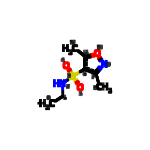 [CH2]CNS(=O)(=O)c1c(C)noc1C